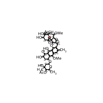 COc1c2c(c(O)c3c4c(c(C)cc13)C1OC3(C(OC)OC)OC1[C@@](OC1CC(O)C(O)(C(C)=O)C(C)O1)(O4)[C@@]31CO1)C(=O)[C@@H](O)C[C@@H]2OC1CC(C)(O)C(OC(C)=O)[C@@H](C)O1